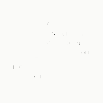 CC(C)OCC(CON(O)O)ON(O)O